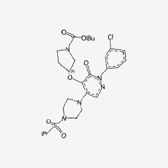 CC(C)COC(=O)N1CC[C@@H](Oc2c(N3CCN(S(=O)(=O)C(C)C)CC3)cnn(-c3cccc(Cl)c3)c2=O)C1